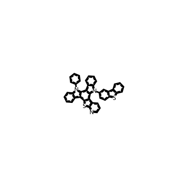 c1ccc(-n2c3ccccc3c3c4sc5ncccc5c4c4c(c5ccccc5n4-c4ccc5sc6ccccc6c5c4)c32)cc1